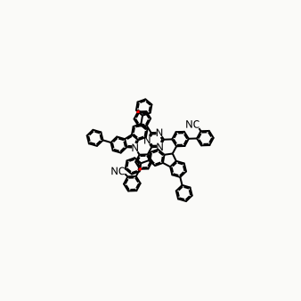 N#Cc1ccccc1-c1ccc(-c2nc(-c3ccccc3)nc(-c3ccc(-c4ccccc4C#N)cc3-n3c4ccc(-c5ccccc5)cc4c4cc(-c5ccccc5)ccc43)n2)c(C2c3ccc(-c4ccccc4)cc3-c3cc(-c4ccccc4)ccc32)c1